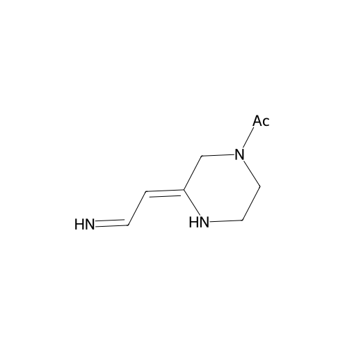 CC(=O)N1CCN/C(=C\C=N)C1